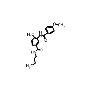 CCCCNC(=O)c1ccc(C)c(NC(=O)c2ccc(OC)cc2)c1